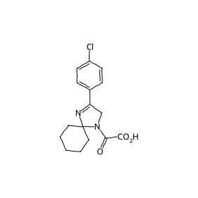 O=C(O)C(=O)N1CC(c2ccc(Cl)cc2)=NC12CCCCC2